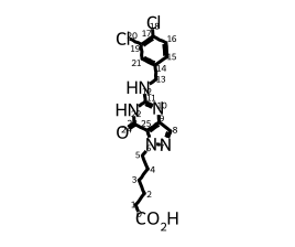 O=C(O)CCCCCn1ncc2nc(NCc3ccc(Cl)c(Cl)c3)[nH]c(=O)c21